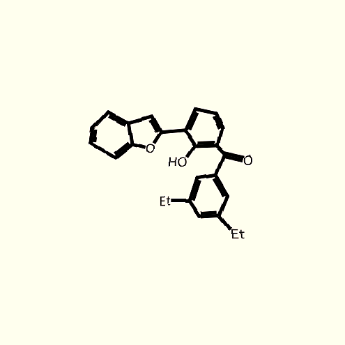 CCc1cc(CC)cc(C(=O)c2cccc(-c3cc4ccccc4o3)c2O)c1